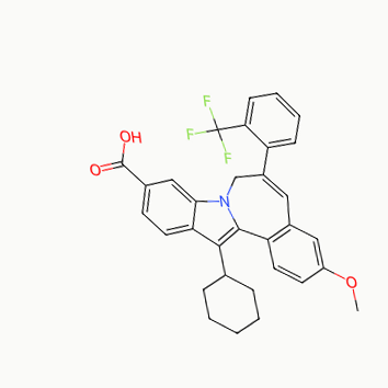 COc1ccc2c(c1)C=C(c1ccccc1C(F)(F)F)Cn1c-2c(C2CCCCC2)c2ccc(C(=O)O)cc21